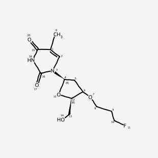 Cc1cn([C@H]2CC(OCCCF)[C@@H](CO)O2)c(=O)[nH]c1=O